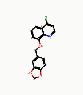 Clc1ccnc2c(OCc3ccc4c(c3)OCO4)cccc12